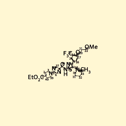 CCOC(=O)C1CCN(c2cnc(C(=O)Nc3nc(-c4ccc(OCCCOC)c(C(F)(F)F)c4)c(CN4CCCC[C@H]4C)s3)cn2)CC1